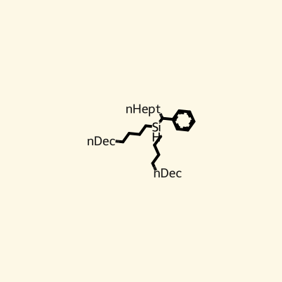 CCCCCCCCCCCCCC[SiH](CCCCCCCCCCCCCC)C(CCCCCCC)c1ccccc1